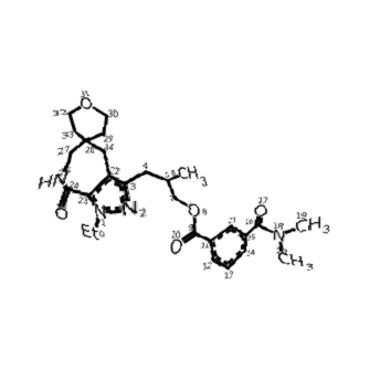 CCn1nc(CC(C)COC(=O)c2cccc(C(=O)N(C)C)c2)c2c1C(=O)NCC1(CCOCC1)C2